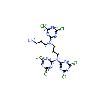 NCCCN(CCCN(c1nc(Cl)nc(Cl)n1)c1nc(Cl)nc(Cl)n1)c1nc(Cl)nc(Cl)n1